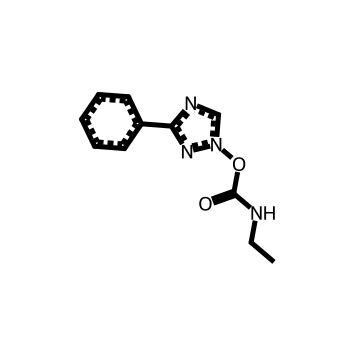 CCNC(=O)On1cnc(-c2ccccc2)n1